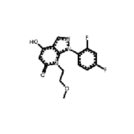 COCCn1c(=O)cc(O)c2cnn(-c3ccc(F)cc3F)c21